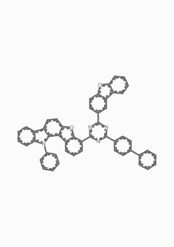 c1ccc(-c2ccc(-c3nc(-c4ccc5oc6ccccc6c5c4)nc(-c4cccc5c4oc4ccc6c7ccccc7n(-c7ccccc7)c6c45)n3)cc2)cc1